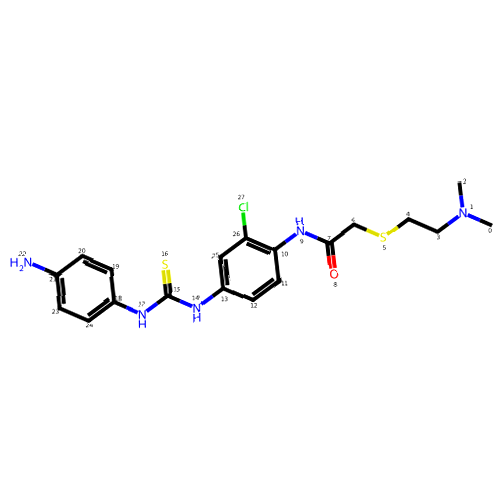 CN(C)CCSCC(=O)Nc1ccc(NC(=S)Nc2ccc(N)cc2)cc1Cl